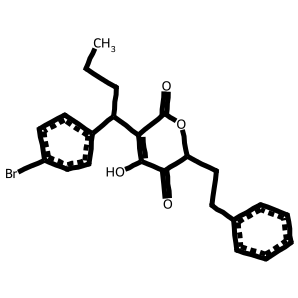 CCCC(C1=C(O)C(=O)C(CCc2ccccc2)OC1=O)c1ccc(Br)cc1